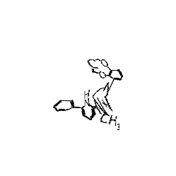 C[N+]1(c2ccc(-c3ccccc3)[nH]2)CCN(c2cccc3c2OCCCO3)CC1